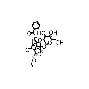 CCOC[C@@H]1O[C@@]2(C)CC13C(=O)[C@@H]1C4(COC(=O)c5ccccc5)C[C@@]2(O[C@@H]2OC(CO)[C@@H](O)[C@H](O)C2O)[C@]143